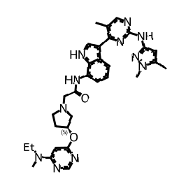 CCN(C)c1cc(O[C@H]2CCN(CC(=O)Nc3cccc4c(-c5nc(Nc6cc(C)n(C)n6)ncc5C)c[nH]c34)C2)ncn1